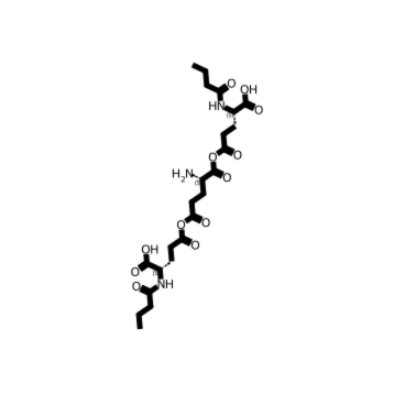 CCCC(=O)N[C@@H](CCC(=O)OC(=O)CC[C@H](N)C(=O)OC(=O)CC[C@H](NC(=O)CCC)C(=O)O)C(=O)O